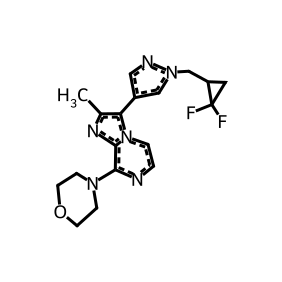 Cc1nc2c(N3CCOCC3)nccn2c1-c1cnn(CC2CC2(F)F)c1